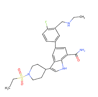 CCNCc1cc(-c2cc(C(N)=O)c3[nH]cc(C4CCN(S(=O)(=O)CC)CC4)c3c2)ccc1F